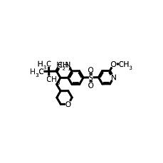 C=C(C(CC1CCOCC1)c1ccc(S(=O)(=O)c2ccnc(OC)c2)cc1N)C(C)(C)C